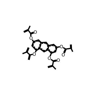 C=C(C)C(=C)Oc1cc(OC(=O)C(=C)C)cc2cc3cc(OC(=O)C(=C)C)cc(OC(=O)C(=C)C)c3cc12